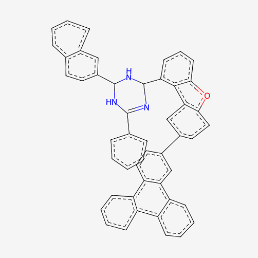 c1ccc(C2=NC(c3cccc4oc5ccc(-c6ccc7c8ccccc8c8ccccc8c7c6)cc5c34)NC(c3ccc4ccccc4c3)N2)cc1